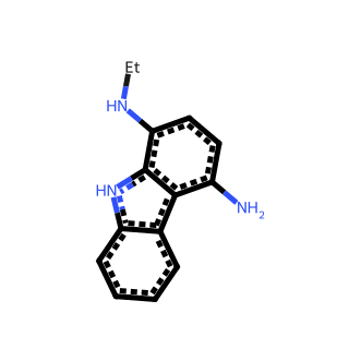 CCNc1ccc(N)c2c1[nH]c1ccccc12